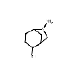 NN1CC2CC1CCC2O